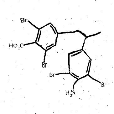 CC(Cc1cc(Br)c(C(=O)O)c(Br)c1)c1cc(Br)c(N)c(Br)c1